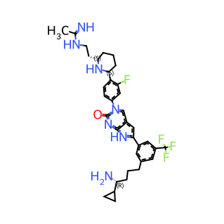 CC(=N)NCC[C@@H]1CCC[C@@H](c2ccc(-n3cc4cc(-c5cc(CCC[C@@H](N)C6CC6)cc(C(F)(F)F)c5)[nH]c4nc3=O)cc2F)N1